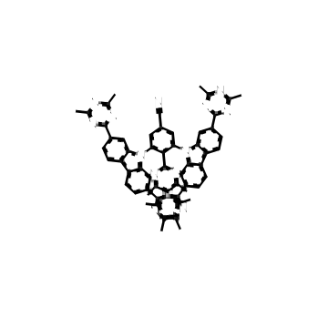 Cc1cc(C)nc(-c2c(-n3c4cc(-c5nc(C)nc(C)n5)ccc4c4ccc(-c5nc(C)nc(C)n5)cc43)cc(C#N)cc2-n2c3cc(-c4nc(C)nc(C)n4)ccc3c3ccc(-c4nc(C)nc(C)n4)cc32)n1